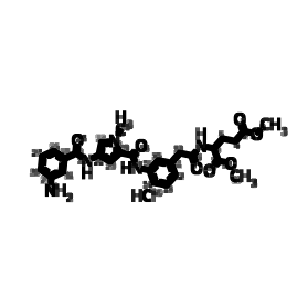 COC(=O)CCC(NC(=O)Cc1cccc(NC(=O)c2cc(NC(=O)c3cccc(N)c3)cn2C)c1)C(=O)OC.Cl